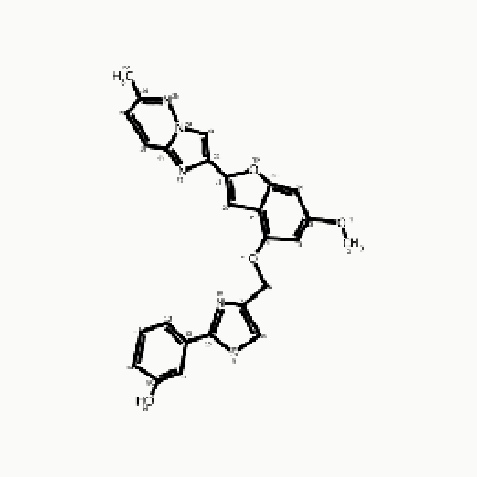 COc1cc(OCc2csc(-c3cccc(O)c3)n2)c2cc(-c3cn4nc(C)ccc4n3)oc2c1